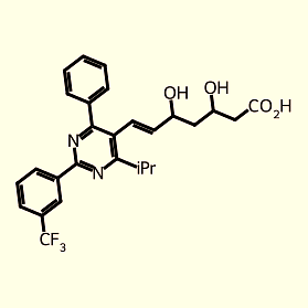 CC(C)c1nc(-c2cccc(C(F)(F)F)c2)nc(-c2ccccc2)c1/C=C/C(O)CC(O)CC(=O)O